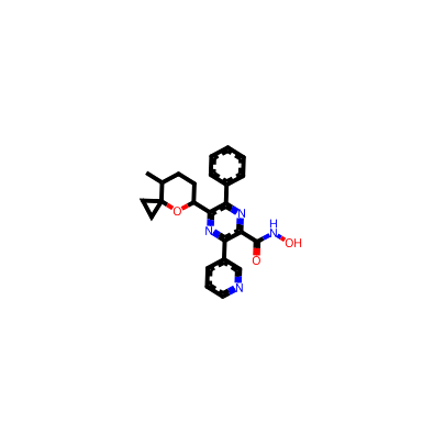 CC1CCC(c2nc(-c3cccnc3)c(C(=O)NO)nc2-c2ccccc2)OC12CC2